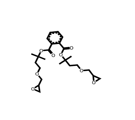 CC(C)(CCOCC1CO1)OC(=O)c1ccccc1C(=O)OC(C)(C)CCOCC1CO1